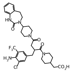 Nc1c(Cl)cc(CC(CC(=O)N2CCC(N3CCc4ccccc4NC3=O)CC2)C(=O)N2CCC(CC(=O)O)CC2)cc1C(F)(F)F